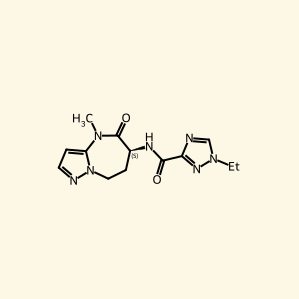 CCn1cnc(C(=O)N[C@H]2CCn3nccc3N(C)C2=O)n1